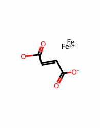 O=C([O-])C=CC(=O)[O-].[Fe+2].[Fe]